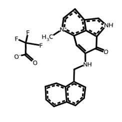 C[n+]1ccc2c[nH]c3c2c1C=C(NCc1cccc2ccccc12)C3=O.O=C([O-])C(F)(F)F